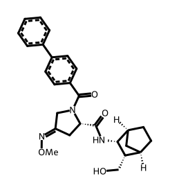 CO/N=C1\C[C@@H](C(=O)N[C@@H]2[C@H]3CC[C@H](C3)[C@@H]2CO)N(C(=O)c2ccc(-c3ccccc3)cc2)C1